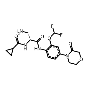 NC[C@@H](NC(=O)C1CC1)C(=O)Nc1ccc(N2CCOCC2=O)cc1OC(F)F